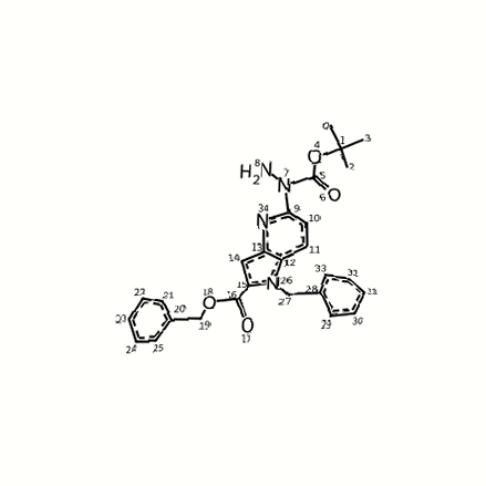 CC(C)(C)OC(=O)N(N)c1ccc2c(cc(C(=O)OCc3ccccc3)n2Cc2ccccc2)n1